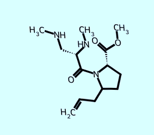 C=CCC1CC[C@@H](C(=O)OC)N1C(=O)[C@H](CNC)NC